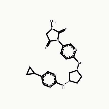 CN1CC(=O)N(c2ccc(N[C@H]3CC[C@H](Nc4ncc(C5CC5)nn4)C3)nc2)C1=O